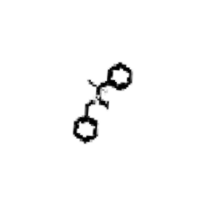 C[C@@H](c1ccccc1)N(I)Cc1ccccc1